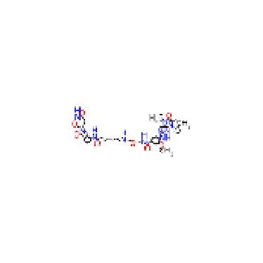 CC[C@@H]1C(=O)N(C)c2cnc(Nc3ccc(C(=O)NCCOCCNCCCCCCC(=O)Nc4cccc5c4CN(C4CCC(=O)NCOC4)C5=O)cc3OC)nc2N1C1CCCC1